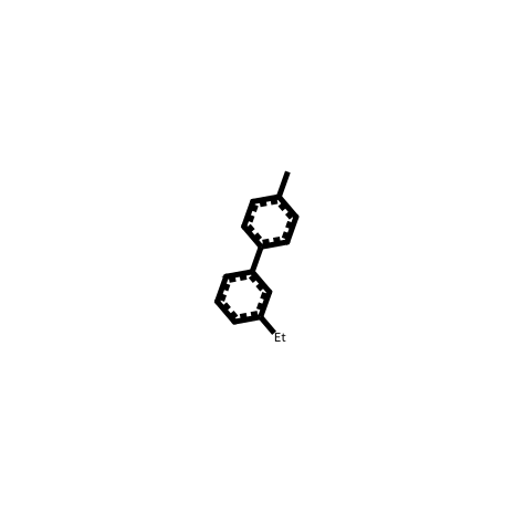 CCc1cc[c]c(-c2ccc(C)cc2)c1